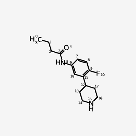 CCCC(=O)Nc1ccc(F)c(C2CCNCC2)c1